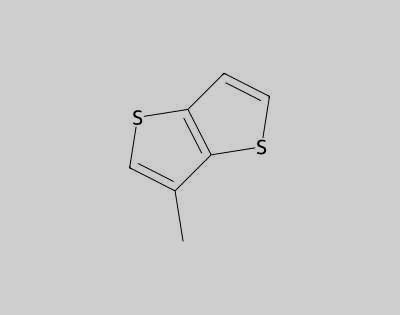 Cc1csc2ccsc12